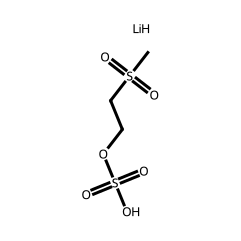 CS(=O)(=O)CCOS(=O)(=O)O.[LiH]